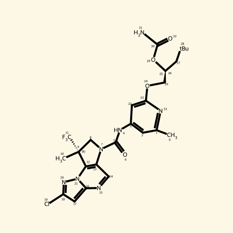 Cc1cc(NC(=O)N2C[C@@](C)(C(F)(F)F)c3c2cnc2cc(Cl)nn32)cc(OC[C@H](CC(C)(C)C)OC(N)=O)n1